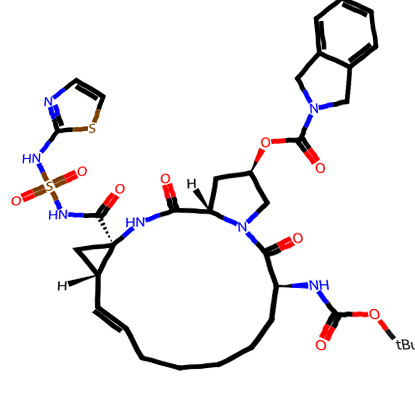 CC(C)(C)OC(=O)N[C@H]1CCCCC/C=C/[C@@H]2C[C@@]2(C(=O)NS(=O)(=O)Nc2nccs2)NC(=O)[C@@H]2C[C@@H](OC(=O)N3Cc4ccccc4C3)CN2C1=O